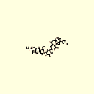 Cc1cc(-c2cc(-n3cnn(CC(CN)=C(F)F)c3=O)ccn2)cc2c1N(OC(=O)C(F)(F)F)C(=O)CC2